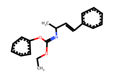 CCOC(=NC(C)C=Cc1ccccc1)Oc1ccccc1